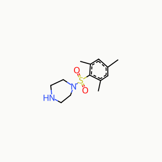 Cc1cc(C)c(S(=O)(=O)N2CCNCC2)c(C)c1